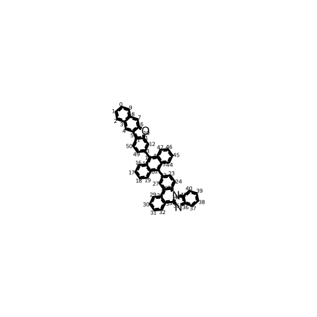 c1ccc2cc3c(cc2c1)oc1cc(-c2c4ccccc4c(-c4ccc5c(c4)c4ccccc4c4nc6ccccc6n54)c4ccccc24)ccc13